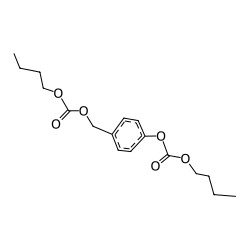 CCCCOC(=O)OCc1ccc(OC(=O)OCCCC)cc1